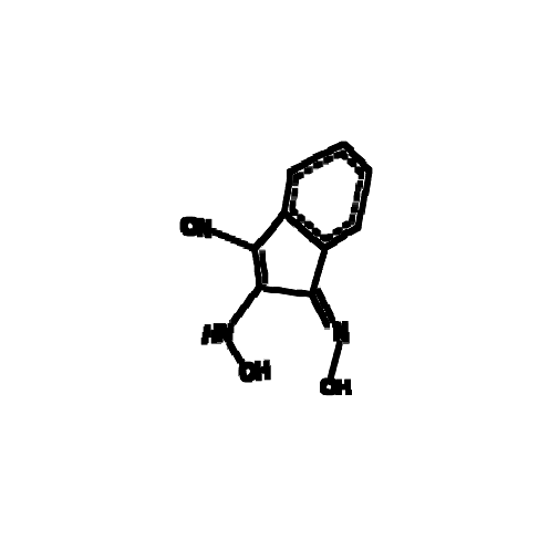 O=NC1=C(NO)C(=NO)c2ccccc21